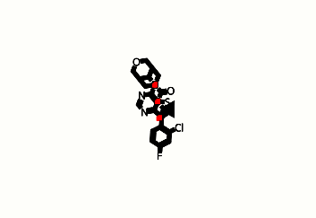 CC1(OC(=O)N2CC3COCC(C2)C3Oc2ncnc3c(-c4ccc(F)cc4Cl)csc23)CC1